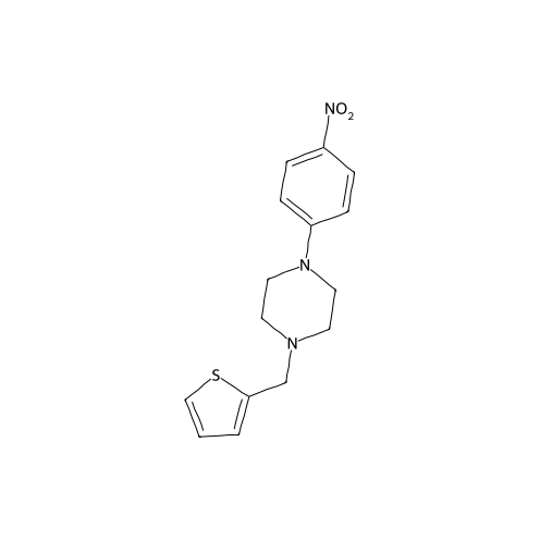 O=[N+]([O-])c1ccc(N2CCN(Cc3cccs3)CC2)cc1